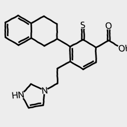 O=C(O)C1C=CC(CCN2C=CNC2)=C(C2CCc3ccccc3C2)C1=S